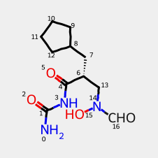 NC(=O)NC(=O)[C@H](CC1CCCC1)CN(O)C=O